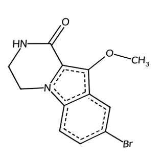 COc1c2n(c3ccc(Br)cc13)CCNC2=O